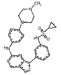 CN1CCN(c2ccc(Nc3ncc4ccc(-c5cccc(NS(=O)(=O)C6CC6)c5)n4n3)cc2)CC1